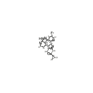 Fc1ccc(-c2nn3c(c2-c2ccnc4[nH]ncc24)CO[C@H](C2CC2)C3)nc1